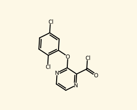 O=C(Cl)c1nccnc1Oc1cc(Cl)ccc1Cl